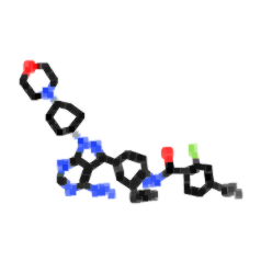 COc1cc(-c2nn([C@H]3CC[C@@H](N4CCOCC4)CC3)c3ncnc(N)c23)ccc1NC(=O)c1ccc(C(F)(F)F)cc1F